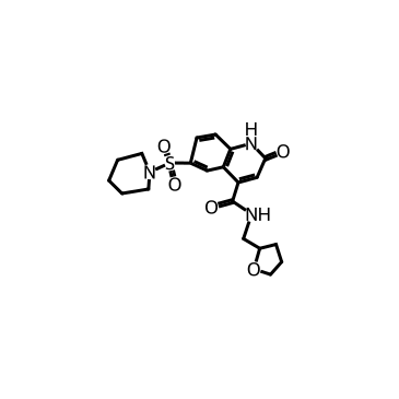 O=C(NCC1CCCO1)c1cc(=O)[nH]c2ccc(S(=O)(=O)N3CCCCC3)cc12